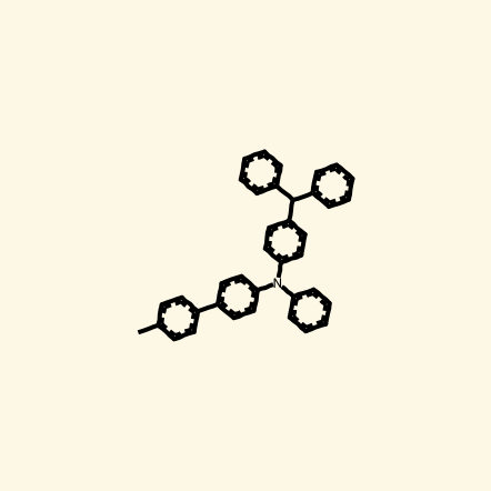 Cc1ccc(-c2ccc(N(c3ccccc3)c3ccc(C(c4ccccc4)c4ccccc4)cc3)cc2)cc1